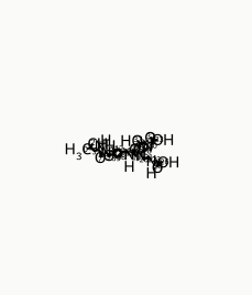 CC(C)C[C@@H](N)C(=O)NOc1ccc(CNC(=O)CN(CCNCC(=O)O)CCN(CC(=O)O)CC(=O)O)cc1